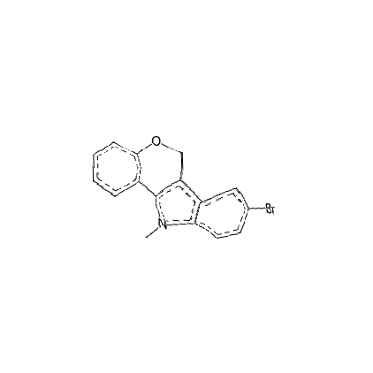 Cn1c2c(c3cc(Br)ccc31)COc1ccccc1-2